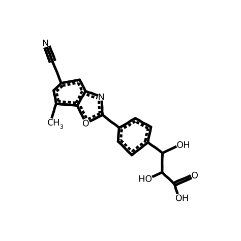 Cc1cc(C#N)cc2nc(-c3ccc(C(O)C(O)C(=O)O)cc3)oc12